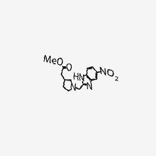 COC(=O)CC1CCN(Cc2nc3cc([N+](=O)[O-])ccc3[nH]2)C1